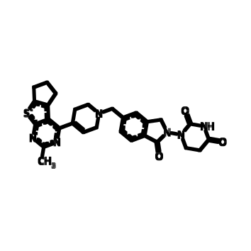 Cc1nc(C2=CCN(Cc3ccc4c(c3)CN(N3CCC(=O)NC3=O)C4=O)CC2)c2c3c(sc2n1)CCC3